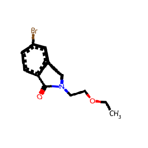 CCOCCN1Cc2cc(Br)ccc2C1=O